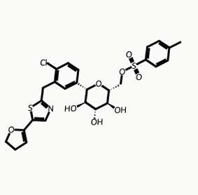 Cc1ccc(S(=O)(=O)OC[C@H]2O[C@@H](c3ccc(Cl)c(Cc4ncc(C5=CCCO5)s4)c3)[C@H](O)[C@@H](O)[C@@H]2O)cc1